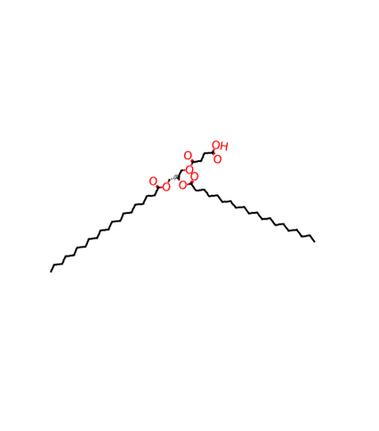 CCCCCCCCCCCCCCCCCCCC(=O)OC[C@H](COC(=O)CCC(=O)O)OC(=O)CCCCCCCCCCCCCCCCCCC